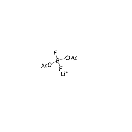 CC(=O)O[B-](F)(F)OC(C)=O.[Li+]